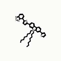 CCCCCCCC[Si]1(CCCCCCCC)c2cc(-c3cc[c]s3)ccc2-c2ccc(-c3ccc(-c4cc[c]c5nsnc45)s3)cc21